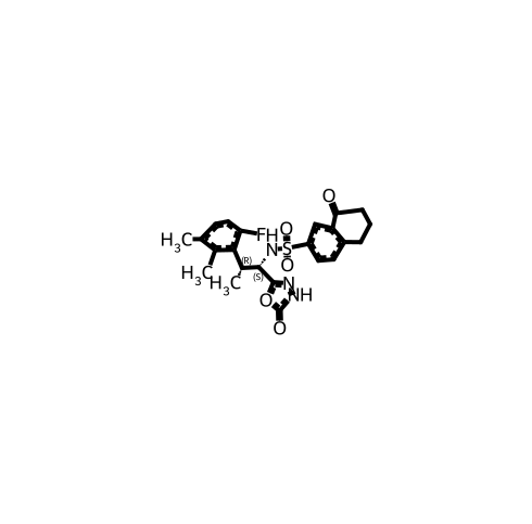 Cc1ccc(F)c([C@@H](C)[C@H](NS(=O)(=O)c2ccc3c(c2)C(=O)CCC3)c2n[nH]c(=O)o2)c1C